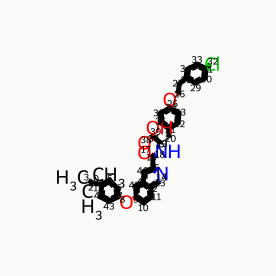 CC(C)(C)c1ccc(Oc2ccc3cnc(C(=O)N[C@@H](Cc4ccc(OCCc5ccc(Cl)cc5)cc4)C(=O)O)cc3c2)cc1